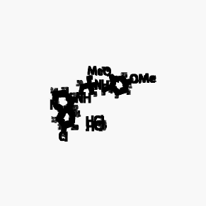 COc1ccc(CNC(C)(C)CNc2ccnc3cc(Cl)ccc23)c(OC)c1.Cl.Cl